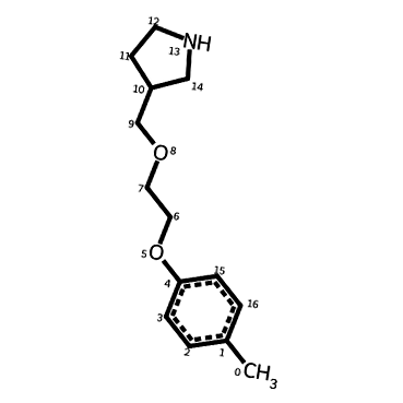 Cc1ccc(OCCOCC2CCNC2)cc1